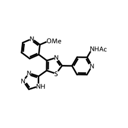 COc1ncccc1-c1nc(-c2ccnc(NC(C)=O)c2)sc1-c1nnc[nH]1